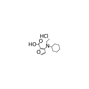 CCN(c1ccoc1C(=O)O)C1CCCCC1.Cl